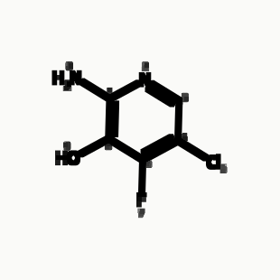 Nc1ncc(Cl)c(F)c1O